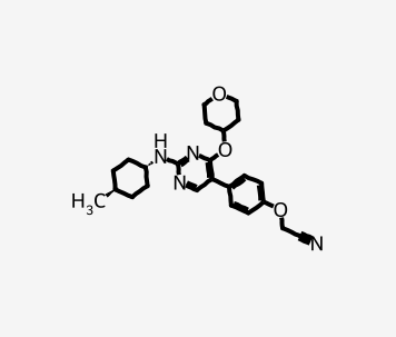 C[C@H]1CC[C@H](Nc2ncc(-c3ccc(OCC#N)cc3)c(OC3CCOCC3)n2)CC1